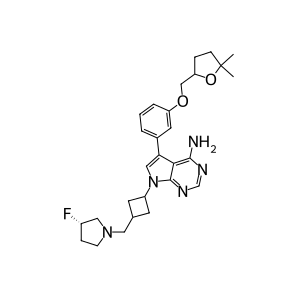 CC1(C)CCC(COc2cccc(-c3cn(C4CC(CN5CC[C@H](F)C5)C4)c4ncnc(N)c34)c2)O1